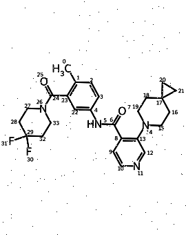 Cc1ccc(NC(=O)c2ccncc2N2CCC3(CC2)CC3)cc1C(=O)N1CCC(F)(F)CC1